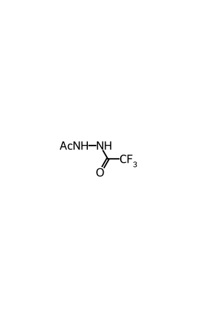 CC(=O)NNC(=O)C(F)(F)F